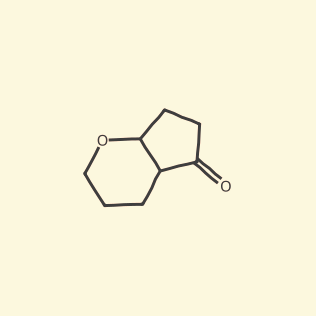 O=C1CCC2OCCCC12